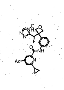 CC(=O)c1cc(C(=O)Nc2cccc(C3(C(F)c4nncn4C)COC3)c2)nc(C2CC2)c1